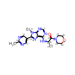 CC[C@@H](Nc1ncnc2c1nc(-c1cnc(C)nc1)n2CC)C(=O)N1CCOCC1